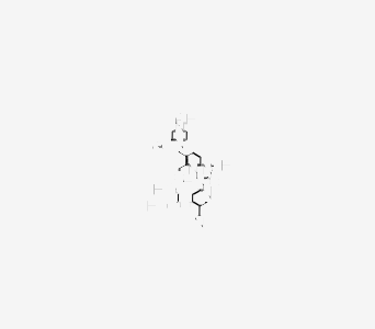 CC(CO)Oc1cc(NC(=O)N(C)c2ccc(CN3CCN(C)CC3=C=O)c(C=O)n2)ncc1C#N